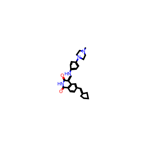 CN1CCN(c2ccc(N/C=C3\C(=O)NC(=O)c4ccc(C=C5CCCC5)cc43)cc2)CC1